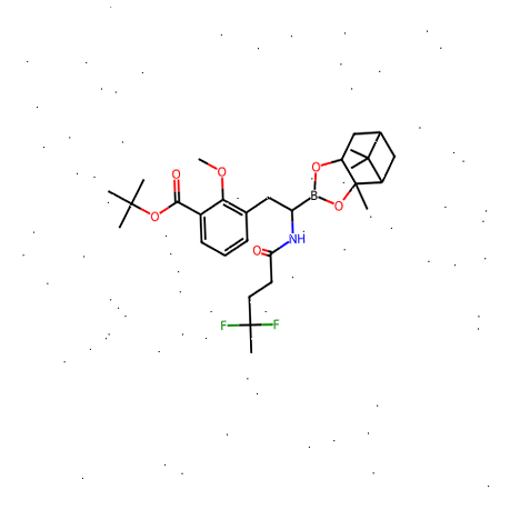 COc1c(CC(NC(=O)CCC(C)(F)F)B2OC3CC4CC(C4(C)C)C3(C)O2)cccc1C(=O)OC(C)(C)C